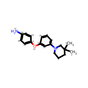 CC1(C)CCCN(c2cccc(Oc3ccc(N)cc3)c2)C1